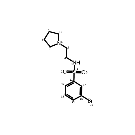 O=S(=O)(NCCN1CCCC1)c1cccc(Br)c1